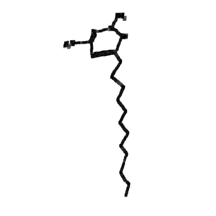 CCCCCCCCCCCCC1=CC(N)=NN(N)N1